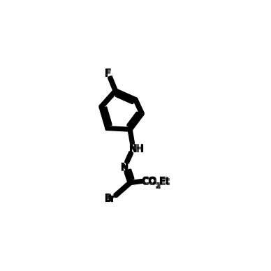 CCOC(=O)/C(Br)=N\Nc1ccc(F)cc1